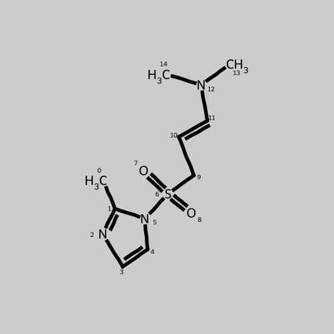 Cc1nccn1S(=O)(=O)CC=CN(C)C